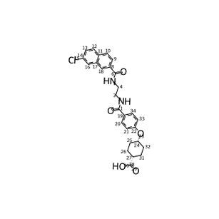 O=C(NCCNC(=O)c1ccc2ccc(Cl)cc2c1)c1ccc(O[C@H]2CC[C@@H](C(=O)O)CC2)cc1